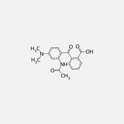 CC(=O)Nc1cc(N(C)C)ccc1C(=O)c1ccccc1C(=O)O